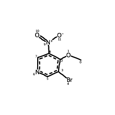 COc1c(Br)cncc1[N+](=O)[O-]